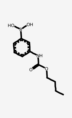 CCCCOC(=O)Nc1cccc(B(O)O)c1